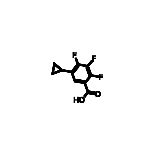 O=C(O)c1cc(C2CC2)c(F)c(F)c1F